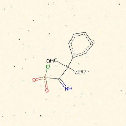 N=C(C(C=O)(C=O)c1ccccc1)S(=O)(=O)Cl